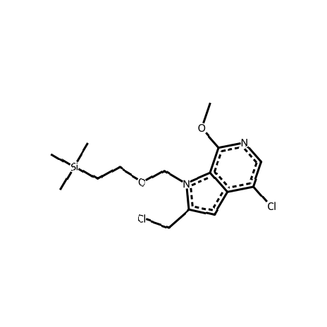 COc1ncc(Cl)c2cc(CCl)n(COCC[Si](C)(C)C)c12